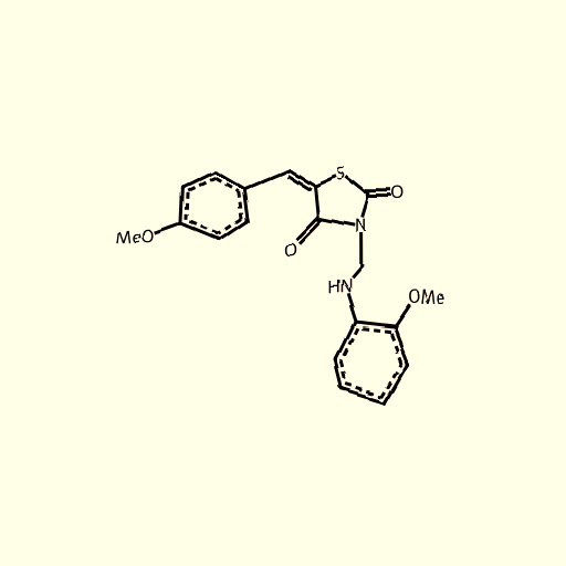 COc1ccc(/C=C2/SC(=O)N(CNc3ccccc3OC)C2=O)cc1